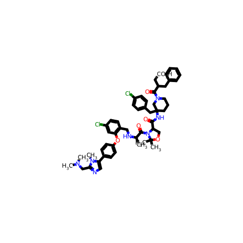 CC(NCc1ccc(Cl)cc1Oc1ccc(-c2cnc(CN(C)C)n2C)cc1)C(=O)N1C(C(=O)NC2(Cc3ccc(Cl)cc3)CCCN(C(=O)C(CC(=O)O)Cc3ccccc3)C2)COC1(C)C